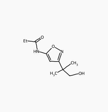 CCC(=O)Nc1cc(C(C)(C)CO)no1